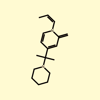 C=C1C=C(C(C)(C)N2CCCCC2)C=CN1/C=C\C